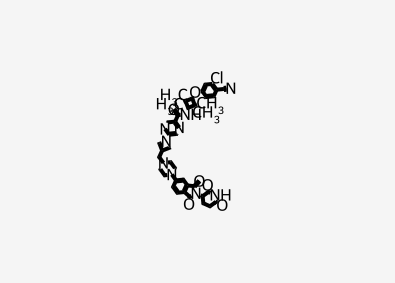 CC1(C)[C@H](NC(=O)c2cnc(N3CC(CN4CCN(c5ccc6c(c5)C(=O)N(C5CCC(=O)NC5=O)C6=O)CC4)C3)cn2)C(C)(C)[C@H]1Oc1ccc(C#N)c(Cl)c1